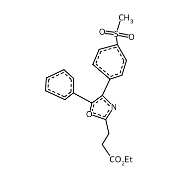 CCOC(=O)CCc1nc(-c2ccc(S(C)(=O)=O)cc2)c(-c2ccccc2)o1